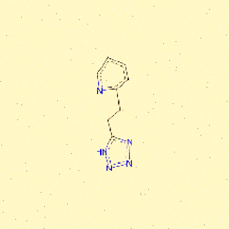 [CH](Cc1nnn[nH]1)c1ccccn1